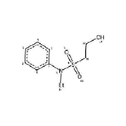 CCN(c1ccccc1)S(=O)(=O)CCO